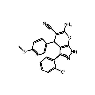 CSc1ccc(C2C(C#N)=C(N)Oc3[nH]nc(-c4ccccc4Cl)c32)cc1